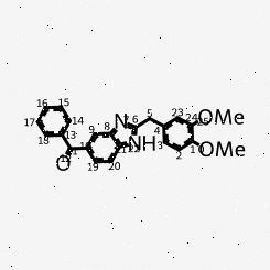 COc1ccc(Cc2nc3cc(C(=O)c4ccccc4)ccc3[nH]2)cc1OC